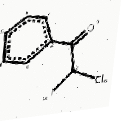 O=C(c1ccccc1)C(Cl)I